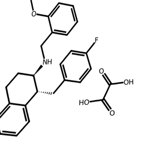 COc1ccccc1CN[C@@H]1CCc2ccccc2[C@H]1Cc1ccc(F)cc1.O=C(O)C(=O)O